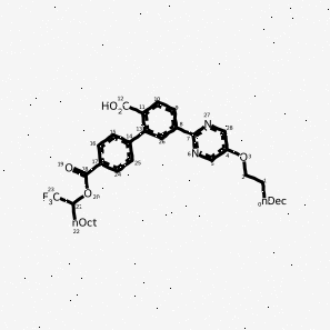 CCCCCCCCCCCCOc1cnc(-c2ccc(C(=O)O)c(-c3ccc(C(=O)OC(CCCCCCCC)C(F)(F)F)cc3)c2)nc1